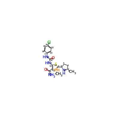 CC1CCC(C2=[PH](C)C(C(N)=O)=C(NC(=O)Nc3ccc(Cl)cc3)S2)N1